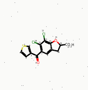 O=C(c1ccsc1)c1cc2c(c(Cl)c1Cl)OC(C(=O)O)C2